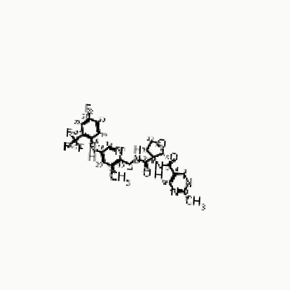 Cc1ncc(C(=O)N[C@@]2(C(=O)NCc3ncc(Nc4ccc(F)cc4C(F)(F)F)cc3C)CCOC2)cn1